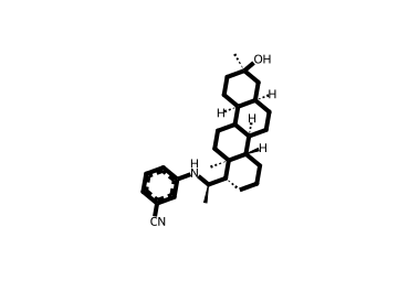 C[C@@H](Nc1cccc(C#N)c1)[C@H]1CCC[C@H]2[C@@H]3CC[C@@H]4C[C@](C)(O)CC[C@@H]4C3CC[C@]12C